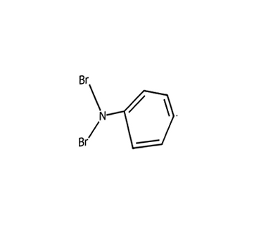 BrN(Br)c1cc[c]cc1